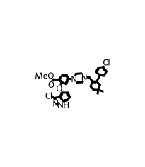 COC(=O)c1ccc(N2CCN(CC3=C(c4ccc(Cl)cc4)CC(C)(C)CC3)CC2)cc1Oc1cccc2[nH]nc(Cl)c12